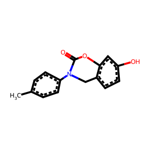 Cc1ccc(N2Cc3ccc(O)cc3OC2=O)cc1